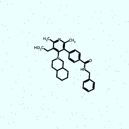 Cc1nc(C)c(-c2ccc(C(=O)NCc3ccccc3)cc2)c(N2CCC3CCCCC3C2)c1CC(=O)O